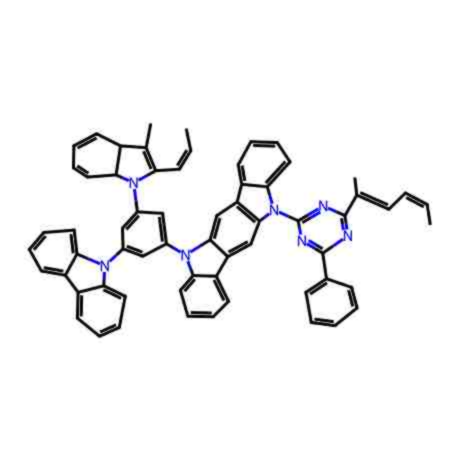 C/C=C\C=C(/C)c1nc(-c2ccccc2)nc(-n2c3ccccc3c3cc4c(cc32)c2ccccc2n4-c2cc(N3C(/C=C\C)=C(C)C4C=CC=CC43)cc(-n3c4ccccc4c4ccccc43)c2)n1